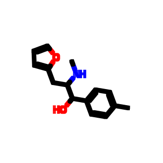 CNC(Cc1ccco1)C(O)c1ccc(C)cc1